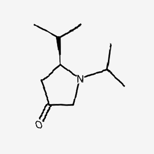 CC(C)[C@@H]1CC(=O)CN1C(C)C